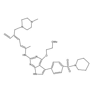 C=C/C(=C\C=C(/C)Nc1nc(OCCOC)c2c(-c3ccc(S(=O)(=O)N4CCCCC4)cc3)c[nH]c2n1)CN1CCN(C)CC1